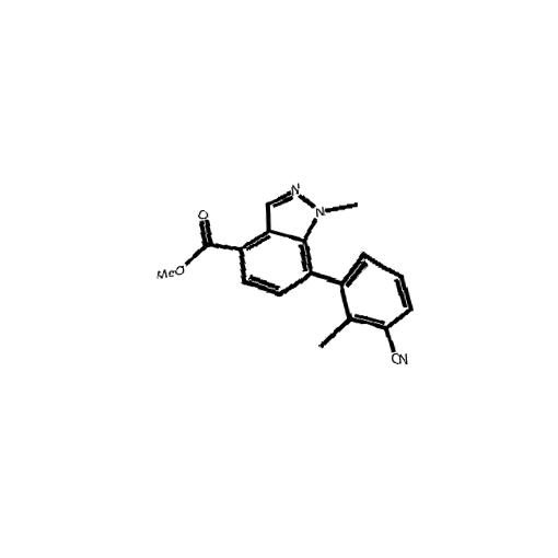 COC(=O)c1ccc(-c2cccc(C#N)c2C)c2c1cnn2C